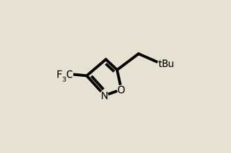 CC(C)(C)Cc1cc(C(F)(F)F)no1